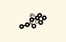 CC(C)c1c(-c2cccc(N(c3ccc(-c4ccccc4)cc3)C3C=CC=CC3)c2)c2c(c3ccccc13)C1C(c3ccccc3)=CC=CC1O2